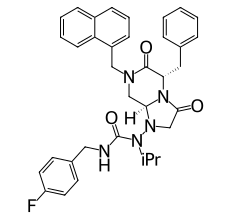 CC(C)N(C(=O)NCc1ccc(F)cc1)N1CC(=O)N2[C@@H](Cc3ccccc3)C(=O)N(Cc3cccc4ccccc34)C[C@@H]21